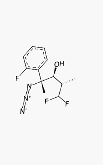 C[C@H](C(F)F)[C@H](O)[C@](C)(N=[N+]=[N-])c1ccccc1F